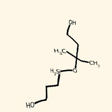 CC(C)(CCO)O[SiH2]CCCO